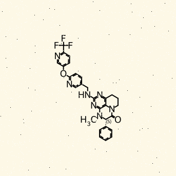 CN1c2nc(NCc3ccc(Oc4ccc(C(F)(F)F)nc4)nc3)nc3c2N(CCC3)C(=O)[C@@H]1c1ccccc1